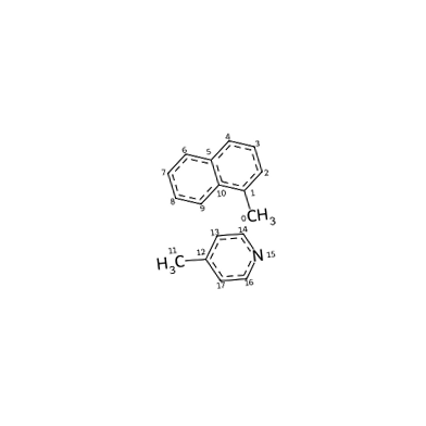 Cc1cccc2ccccc12.Cc1ccncc1